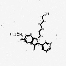 Cc1c(-c2cccnc2)n(CCCCCCO)c2ccc(Cl)cc12.Cl.O